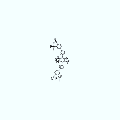 N#Cc1ccc(-c2ccc(-c3c4c(c(-c5ccc(-c6ccc(C#N)c(C(F)(F)F)c6)s5)c5nsnc35)N=S=N4)s2)cc1C(F)(F)F